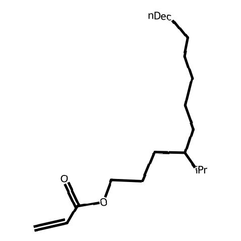 C=CC(=O)OCCCC(CCCCCCCCCCCCCCC)C(C)C